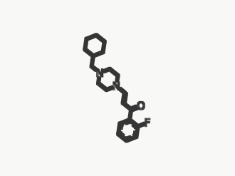 O=C(C=CN1CCN(CC2CCCCC2)CC1)c1ccccc1F